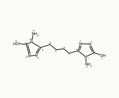 Nn1c(O)nnc1CCCCc1nnc(O)n1N